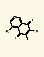 CC1=C(O)C(=O)c2cccc(O)c2C1=O